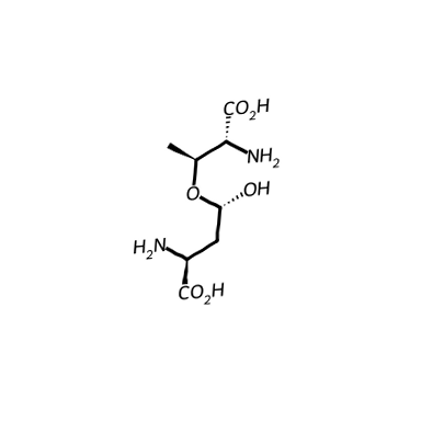 C[C@H](O[C@H](O)C[C@H](N)C(=O)O)[C@@H](N)C(=O)O